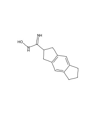 N=C(NO)C1Cc2cc3c(cc2C1)CCC3